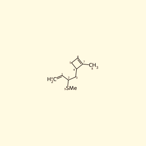 C=CC(CC1CC=C1C)SC